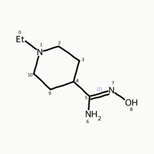 CCN1CCC(/C(N)=N/O)CC1